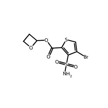 NS(=O)(=O)c1c(Br)csc1C(=O)OC1CCO1